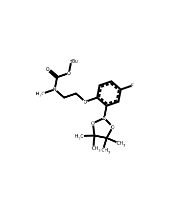 CN(CCOc1ccc(F)cc1B1OC(C)(C)C(C)(C)O1)C(=O)OC(C)(C)C